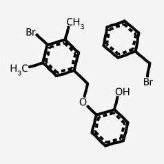 BrCc1ccccc1.Cc1cc(COc2ccccc2O)cc(C)c1Br